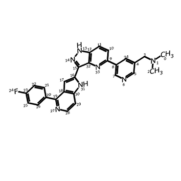 CN(C)Cc1cncc(-c2ccc3[nH]nc(-c4cc5c(-c6ccc(F)cc6)nccc5[nH]4)c3n2)c1